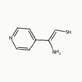 N/C(=C\S)c1ccncc1